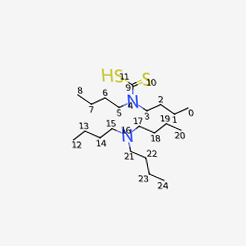 CCCCN(CCCC)C(=S)S.CCCCN(CCCC)CCCC